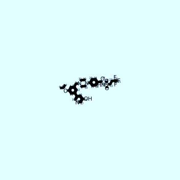 CC(C)Oc1cc(CN2CCN(c3ccc(C(=O)NS(=O)(=O)CCC(F)(F)F)cc3)CC2)cc(-c2cncc(O)c2)c1